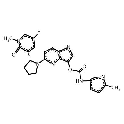 Cc1ccc(NC(=O)Oc2cnn3ccc(N4CCC[C@@H]4c4cc(F)cn(C)c4=O)nc23)cn1